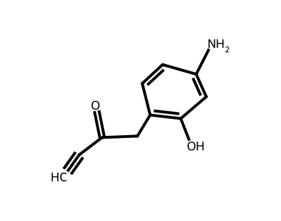 C#CC(=O)Cc1ccc(N)cc1O